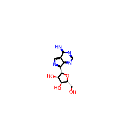 N=C1N=CN=C2C1=CN=C2[C@@H]1O[C@H](CO)[C@@H](O)[C@H]1O